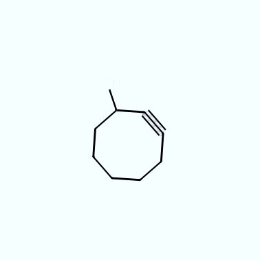 [SiH3]C1C#CCCCCC1